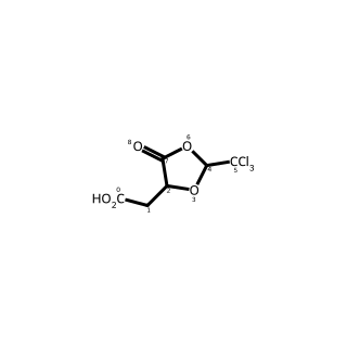 O=C(O)CC1OC(C(Cl)(Cl)Cl)OC1=O